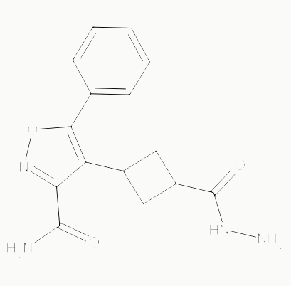 NNC(=O)C1CC(c2c(C(N)=O)noc2-c2ccccc2)C1